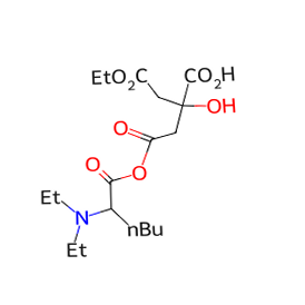 CCCCC(C(=O)OC(=O)CC(O)(CC(=O)OCC)C(=O)O)N(CC)CC